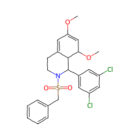 COC1=CC(OC)C2C(=C1)CCN(S(=O)(=O)Cc1ccccc1)C2c1cc(Cl)cc(Cl)c1